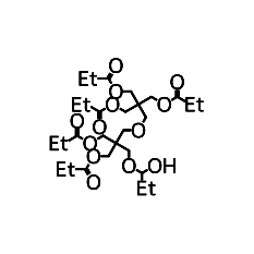 CCC(=O)OCC(COCC(COC(=O)CC)(COC(=O)CC)COC(O)CC)(COC(=O)CC)COC(=O)CC